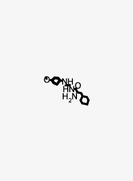 COc1ccc(NCCNC(=O)C(N)CC2CCCCC2)cc1